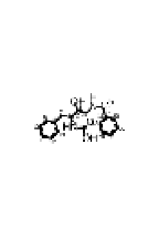 C[C@@H](NC[C@H](O)[C@H](Cc1ccccc1)NC(=O)O)c1ccccc1